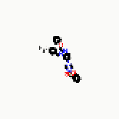 O=S(=O)(Cc1ccccc1)N1CCN(c2ccc3nc(COc4ccccc4)n(Cc4ccc(C(F)(F)F)cc4)c3c2)CC1